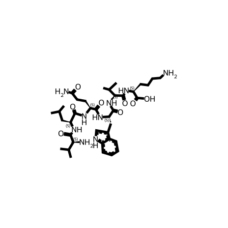 CC(C)C[C@H](NC(=O)[C@@H](N)C(C)C)C(=O)N[C@@H](CCC(N)=O)C(=O)N[C@@H](Cc1c[nH]c2ccccc12)C(=O)N[C@H](C(=O)N[C@@H](CCCCN)C(=O)O)C(C)C